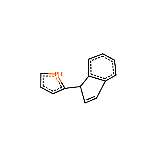 C1=Cc2ccccc2[C]1c1ccc[pH]1